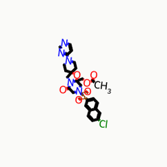 CC(=O)OCC12CN(S(=O)(=O)c3ccc4cc(Cl)ccc4c3)CC(=O)N1CC1(CCN(c3ccncn3)CC1)O2